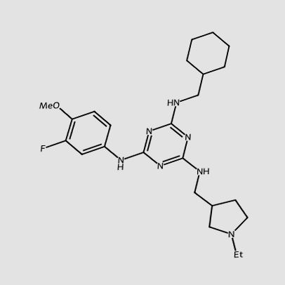 CCN1CCC(CNc2nc(NCC3CCCCC3)nc(Nc3ccc(OC)c(F)c3)n2)C1